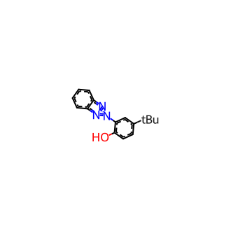 CC(C)(C)c1ccc(O)c(-n2n3c4ccccc4n23)c1